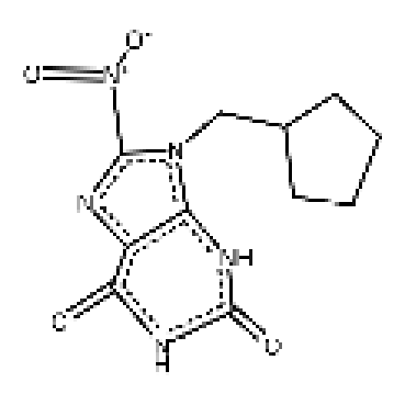 O=c1[nH]c(=O)c2nc([N+](=O)[O-])n(CC3CCCC3)c2[nH]1